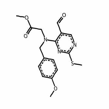 COC(=O)CN(Cc1ccc(OC)cc1)c1nc(SC)ncc1C=O